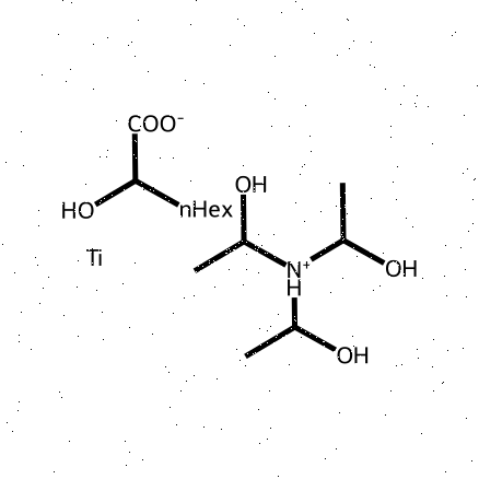 CC(O)[NH+](C(C)O)C(C)O.CCCCCCC(O)C(=O)[O-].[Ti]